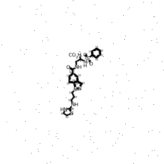 O=C(NCC(NS(=O)(=O)c1ccccc1)C(=O)O)c1ccc2c(cnn2CCCNC2=NCCN2)c1